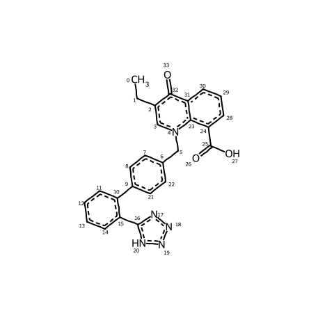 CCc1cn(Cc2ccc(-c3ccccc3-c3nnn[nH]3)cc2)c2c(C(=O)O)cccc2c1=O